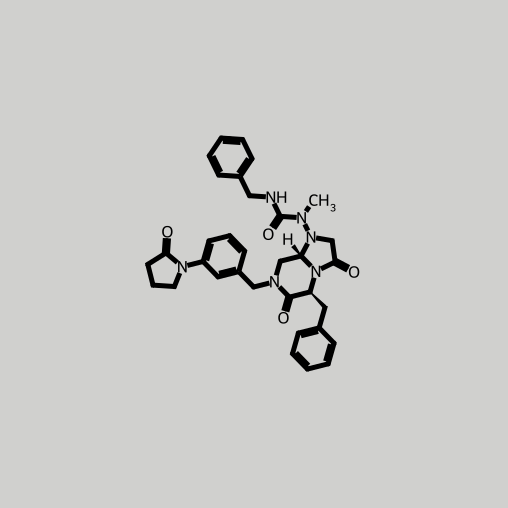 CN(C(=O)NCc1ccccc1)N1CC(=O)N2[C@@H](Cc3ccccc3)C(=O)N(Cc3cccc(N4CCCC4=O)c3)C[C@@H]21